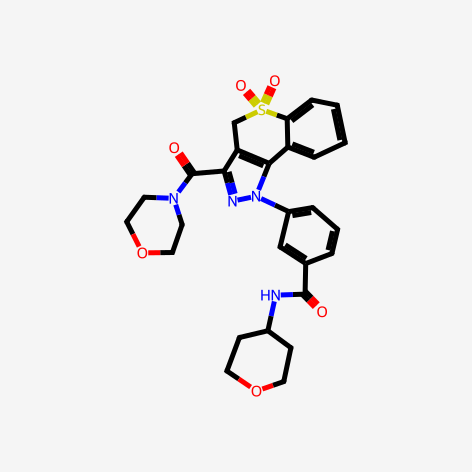 O=C(NC1CCOCC1)c1cccc(-n2nc(C(=O)N3CCOCC3)c3c2-c2ccccc2S(=O)(=O)C3)c1